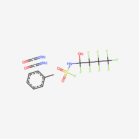 Cc1ccccc1.N=C=O.N=C=O.O=S(=O)(F)NC(O)(F)C(F)(F)C(F)(F)C(F)(F)F